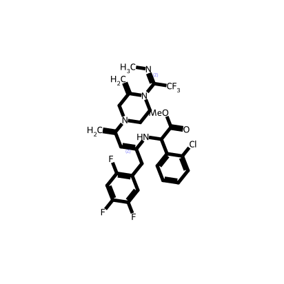 C=C(/C=C(/Cc1cc(F)c(F)cc1F)NC(C(=O)OC)c1ccccc1Cl)N1CCN(/C(=N\C)C(F)(F)F)C(=C)C1